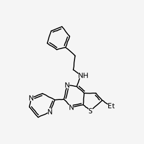 CCc1cc2c(NCCc3ccccc3)nc(-c3cnccn3)nc2s1